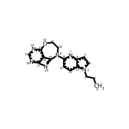 CCCn1ccc2nc(N3CCOc4ncnc5c4C3=N5)ccc21